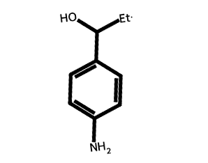 C[CH]C(O)c1ccc(N)cc1